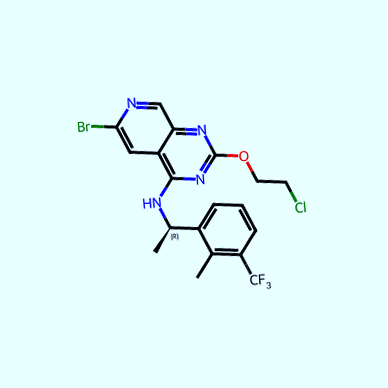 Cc1c([C@@H](C)Nc2nc(OCCCl)nc3cnc(Br)cc23)cccc1C(F)(F)F